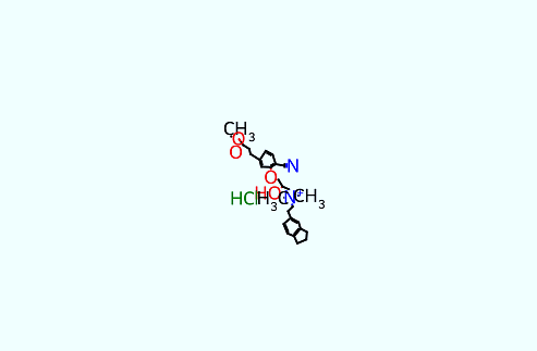 CCOC(=O)CCc1ccc(C#N)c(OC[C@H](O)C[N+](C)(C)CCc2ccc3c(c2)CCC3)c1.Cl